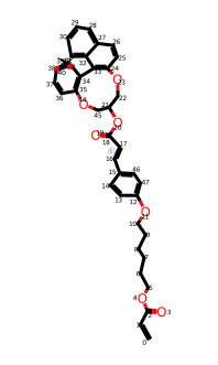 C=CC(=O)OCCCCCCOc1ccc(/C=C/C(=O)OC2COc3ccc4ccccc4c3-c3c(ccc4ccccc34)OC2)cc1